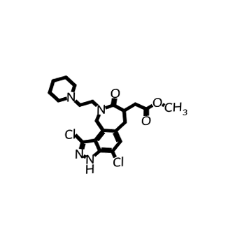 COC(=O)CC1Cc2cc(Cl)c3[nH]nc(Cl)c3c2CN(CCN2CCCCC2)C1=O